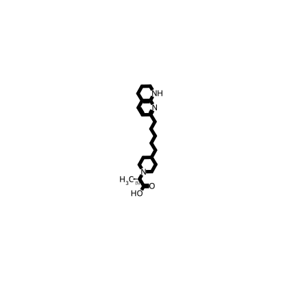 C[C@@H](C(=O)O)N1CCC(CCCCCc2ccc3c(n2)NCCC3)CC1